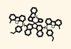 CCc1ccc(N(c2cc3c(c4ccccc24)-c2c(cc(N(c4ccc(CC)cc4)c4cccc5c4oc4c(C)cccc45)c4ccccc24)C32c3ccccc3-n3c4ccccc4c4cccc2c43)c2cccc3c2oc2c(C)cccc23)cc1